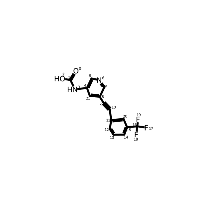 O=C(O)Nc1cncc(C#Cc2cccc(C(F)(F)F)c2)c1